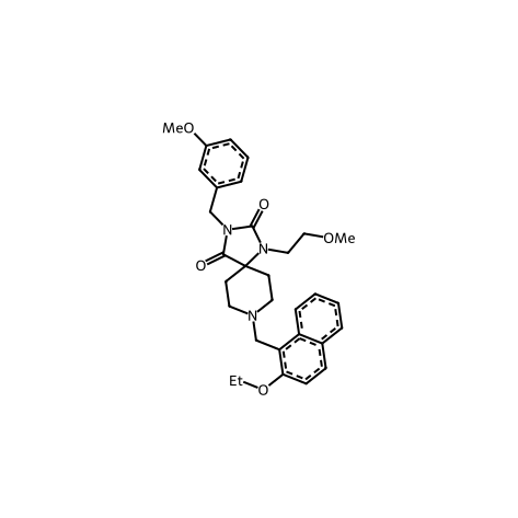 CCOc1ccc2ccccc2c1CN1CCC2(CC1)C(=O)N(Cc1cccc(OC)c1)C(=O)N2CCOC